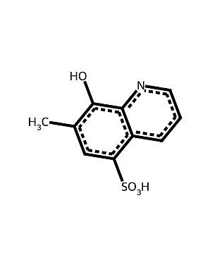 Cc1cc(S(=O)(=O)O)c2cccnc2c1O